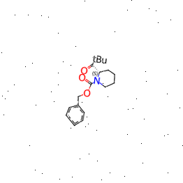 CC(C)(C)C(=O)[C@@H]1CCCCN1C(=O)OCc1ccccc1